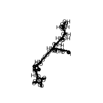 COC(=O)CN1CCN(CC(=O)NCCCn2nnc3c2-c2ccccc2CN(C(=O)CCC(=O)NCCOCCOCCOCCOCCC(=O)NC(CCC(=O)NCCCCCC(=O)N[C@@H](CCC(=O)N[C@H](C)CCCOP(=O)(O)N[C@@H](CCC(=O)O)C(=O)O)C(=O)O)C(=O)NC(CCCCNC(=O)CCCc2ccc(I)cc2)C(=O)O)c2ccccc2-3)CCN(CC(=O)OC)CCN(CC(=O)OC)CC1